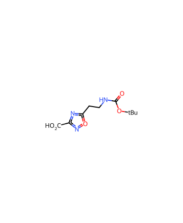 CC(C)(C)OC(=O)NCCc1nc(C(=O)O)no1